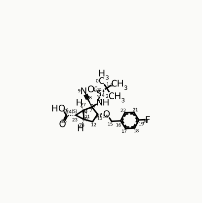 CC(C)(C)[S@@+]([O-])N[C@@]1(C#N)[C@H]2[C@@H](C[C@H]1OCc1ccc(F)cc1)[C@@H]2C(=O)O